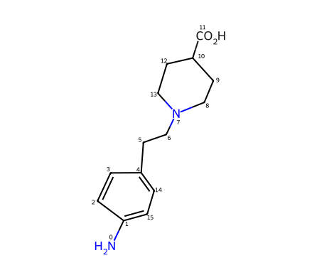 Nc1ccc(CCN2CCC(C(=O)O)CC2)cc1